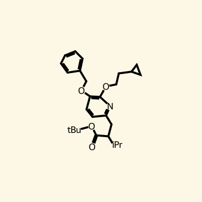 CC(C)C(Cc1ccc(OCc2ccccc2)c(OCCC2CC2)n1)C(=O)OC(C)(C)C